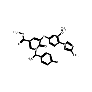 COC(=O)c1cc(Oc2ccc(-n3cnc(C)c3)c(OC)c2)c(=O)n(C(C)c2ccc(F)cc2)c1